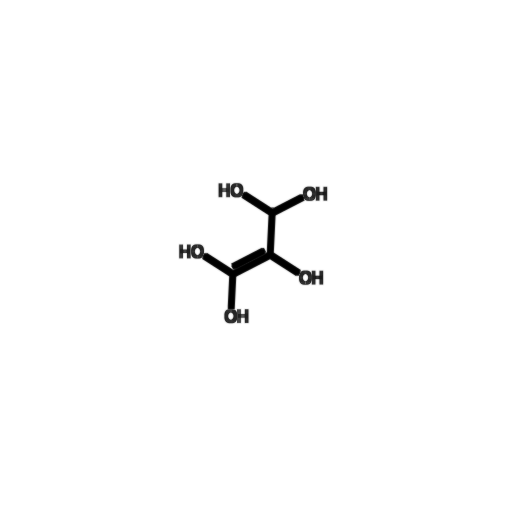 O[C](O)C(O)=C(O)O